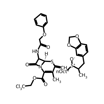 C=C1S[C@@H]2C(NC(=O)COc3ccccc3)C(=O)N2C(C(=O)OCC(Cl)(Cl)Cl)=C1C.CCCCCCCC[S+]([O-])C(C)Cc1ccc2c(c1)OCO2